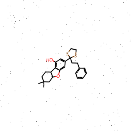 CC1(C)CCC2c3c(O)cc(C4(CCc5ccccc5)SCCS4)cc3OC2C1